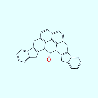 O=C1C2C3=C(Cc4ccc5ccc6c(c5c42)C1C1=C(C6)c2ccccc2C1)c1ccccc1C3